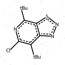 CC(C)(C)c1c(Cl)nc(C(C)(C)C)c2snnc12